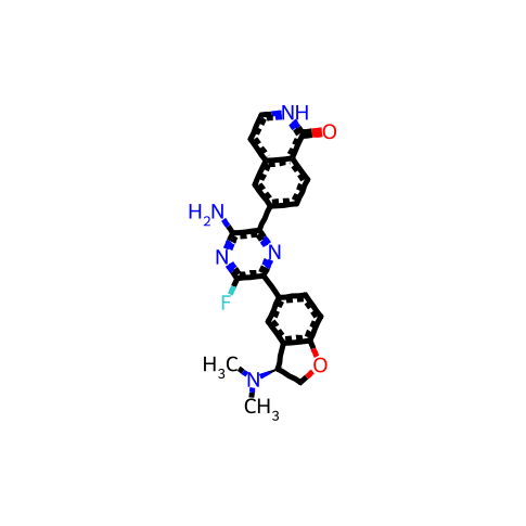 CN(C)[C@@H]1COc2ccc(-c3nc(-c4ccc5c(=O)[nH]ccc5c4)c(N)nc3F)cc21